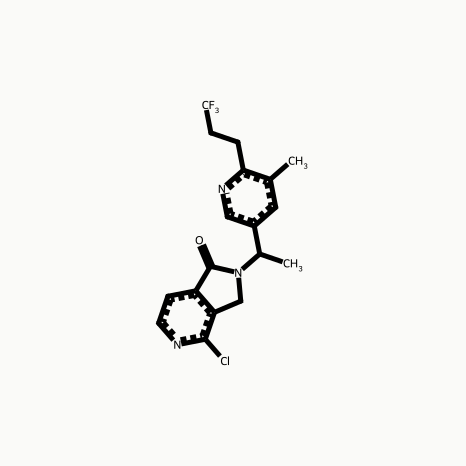 Cc1cc(C(C)N2Cc3c(ccnc3Cl)C2=O)cnc1CCC(F)(F)F